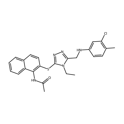 CCn1c(CNc2ccc(C)c(Cl)c2)nnc1Sc1ccc2ccccc2c1NC(C)=O